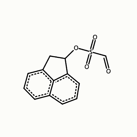 O=CS(=O)(=O)OC1Cc2cccc3cccc1c23